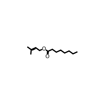 CCCCCCCC(=O)OCC=C(C)C